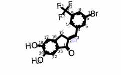 O=C1/C(=C/c2cc(Br)cc(C(F)(F)F)c2)Cc2cc(O)c(O)cc21